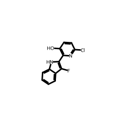 Oc1ccc(Cl)nc1-c1[nH]c2ccccc2c1F